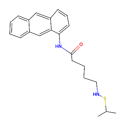 CC(C)SNCCCCC(=O)Nc1cccc2cc3ccccc3cc12